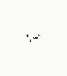 [Li].[Mn].[Ni].[Ni]